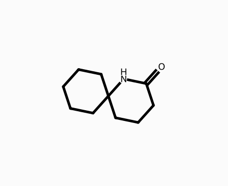 O=C1CCCC2(CCCCC2)N1